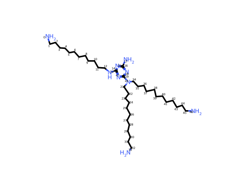 NCCCCCCCCCCCCNc1nc(N)nc(N(CCCCCCCCCCCCN)CCCCCCCCCCCCN)n1